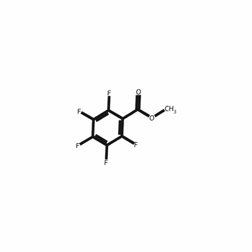 COC(=O)c1c(F)c(F)c(F)c(F)c1F